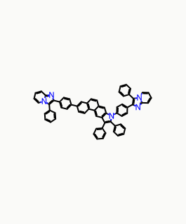 c1ccc(-c2c(-c3ccccc3)n(-c3ccc(-c4nc5ccccn5c4-c4ccccc4)cc3)c3cc4ccc5cc(-c6ccc(-c7nc8ccccn8c7-c7ccccc7)cc6)ccc5c4cc23)cc1